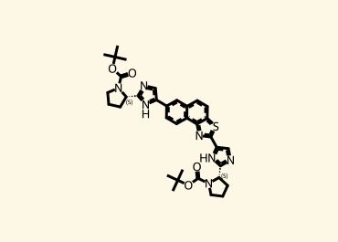 CC(C)(C)OC(=O)N1CCC[C@H]1c1ncc(-c2ccc3c(ccc4sc(-c5cnc([C@@H]6CCCN6C(=O)OC(C)(C)C)[nH]5)nc43)c2)[nH]1